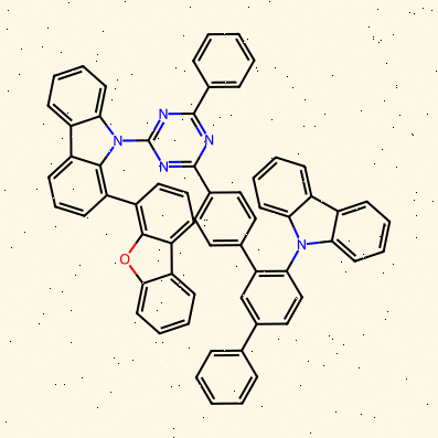 c1ccc(-c2ccc(-n3c4ccccc4c4ccccc43)c(-c3ccc(-c4nc(-c5ccccc5)nc(-n5c6ccccc6c6cccc(-c7cccc8c7oc7ccccc78)c65)n4)cc3)c2)cc1